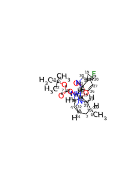 C[C@H]1C[C@H]2C[C@@H](NC(=O)OC(C)(C)C)[C@@H](OC(=O)C3CC3)[C@H]1N(C(=O)c1ccc(F)cn1)C2